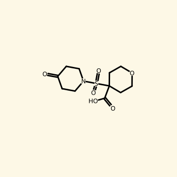 O=C1CCN(S(=O)(=O)C2(C(=O)O)CCOCC2)CC1